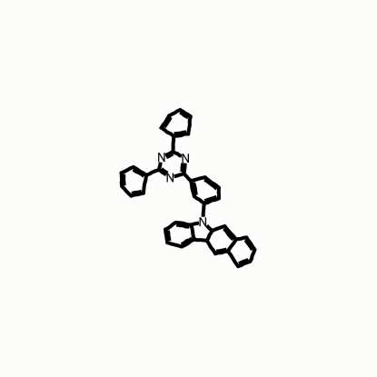 C1=c2ccccc2=CC2C1c1ccccc1N2c1cccc(-c2nc(-c3ccccc3)nc(-c3ccccc3)n2)c1